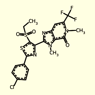 CCS(=O)(=O)c1sc(-c2ccc(Cl)cc2)nc1-c1nc2cc(C(F)(F)F)n(C)c(=O)c2n1C